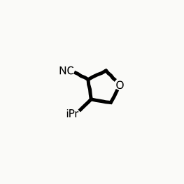 CC(C)C1COCC1C#N